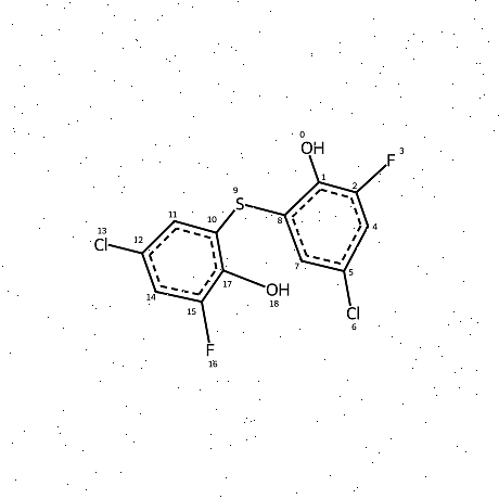 Oc1c(F)cc(Cl)cc1Sc1cc(Cl)cc(F)c1O